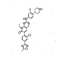 CCn1c(=O)c(-c2ccc(-c3noc(C)n3)cc2Cl)cc2cnc(Nc3ccc(C4CCNCC4)c(F)c3)nc21